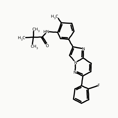 Cc1ccc(-c2cn3nc(-c4ccccc4F)ccc3n2)cc1NC(=O)C(C)(C)C